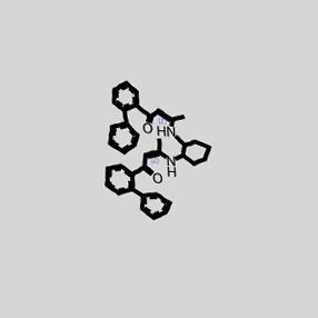 C/C(=C/C(=O)c1ccccc1-c1ccccc1)NC1CCCCC1N/C(C)=C\C(=O)c1ccccc1-c1ccccc1